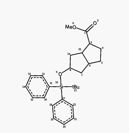 COC(=O)C1CCC2CC(O[Si](c3ccccc3)(c3ccccc3)C(C)(C)C)CC21